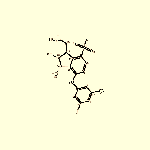 CS(=O)(=O)c1ccc(Oc2cc(F)cc(C#N)c2)c2c1[C@H](CC(=O)O)[C@@H](F)[C@H]2O